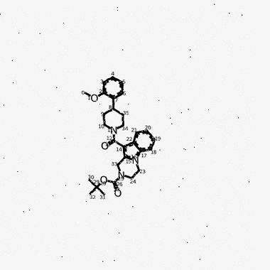 COc1ccccc1C1CCN(C(=O)c2c3n(c4ccccc24)CCN(C(=O)OC(C)(C)C)C3)CC1